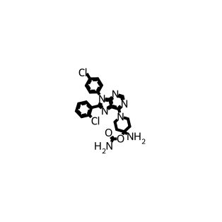 NC(=O)OC1(N)CCN(c2ncnc3c2nc(-c2ccccc2Cl)n3-c2ccc(Cl)cc2)CC1